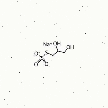 O=S(=O)([O-])SCC(O)CO.[Na+]